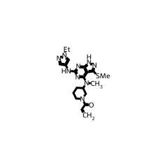 C=CC(=O)N1CCCC(N(C)c2nc(Nc3cnn(CC)c3)nc3[nH]nc(SC)c23)C1